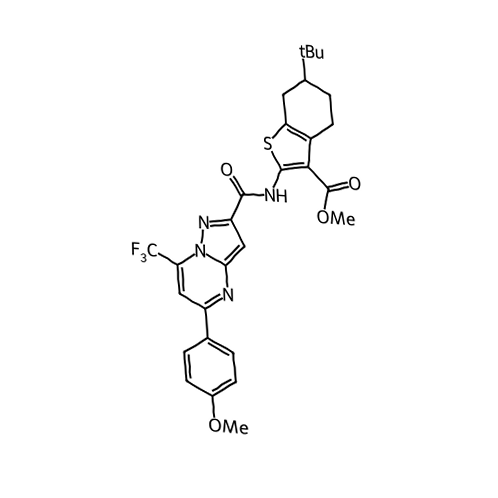 COC(=O)c1c(NC(=O)c2cc3nc(-c4ccc(OC)cc4)cc(C(F)(F)F)n3n2)sc2c1CCC(C(C)(C)C)C2